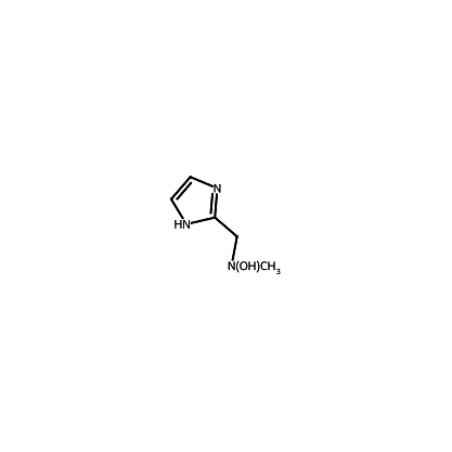 CN(O)Cc1ncc[nH]1